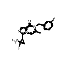 Cc1cn2c(C3CC3(F)P)ncc2c(=O)n1Cc1cccc(F)c1